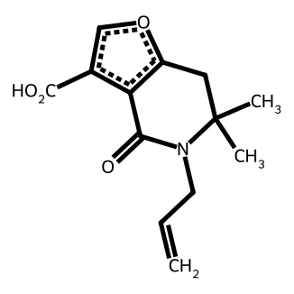 C=CCN1C(=O)c2c(C(=O)O)coc2CC1(C)C